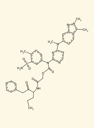 CCCC(NC(=O)COC(=O)N(c1ccc(C)c(S(N)(=O)=O)c1)c1nccc(N(C)c2ccc3c(C)n(C)nc3c2)n1)C(=O)Cc1ccccc1